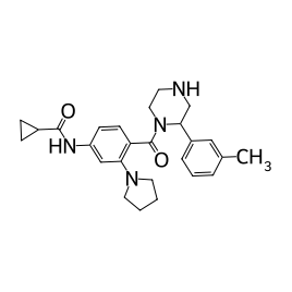 Cc1cccc(C2CNCCN2C(=O)c2ccc(NC(=O)C3CC3)cc2N2CCCC2)c1